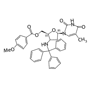 COc1ccc(C(=O)OC[C@H]2O[C@@H](n3cc(C)c(=O)[nH]c3=O)CC2NC(c2ccccc2)(c2ccccc2)c2ccccc2)cc1